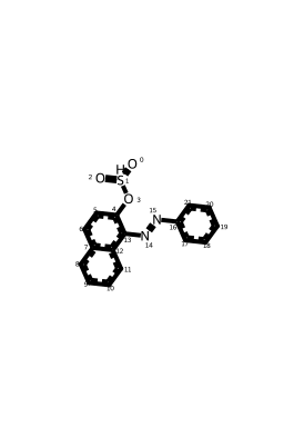 O=[SH](=O)Oc1ccc2ccccc2c1N=Nc1ccccc1